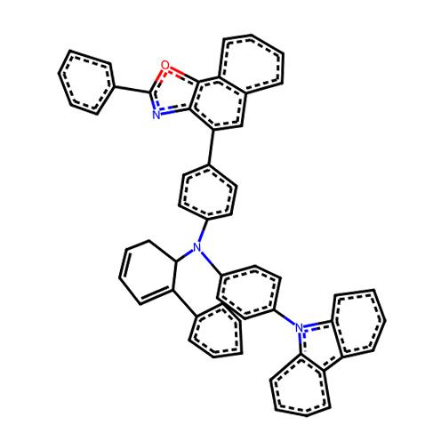 C1=CCC(N(c2ccc(-c3cc4ccccc4c4oc(-c5ccccc5)nc34)cc2)c2ccc(-n3c4ccccc4c4ccccc43)cc2)C(c2ccccc2)=C1